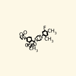 Cc1cc(C)c(N2CCN(C(=O)c3ccc(N4CCOC4=O)cc3S(C)(=O)=O)CC2)cc1F